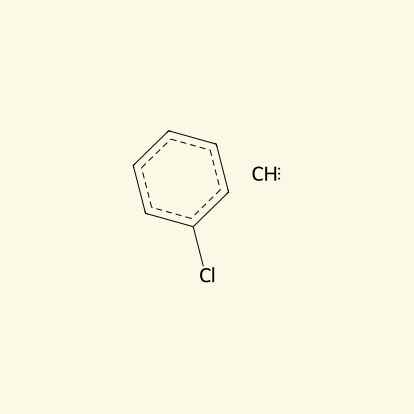 Clc1ccccc1.[CH]